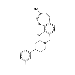 Cc1cccc(C2CCN(Cc3ccc4c(c3O)ON=C(O)C=C4)CC2)c1